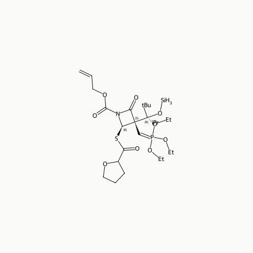 C=CCOC(=O)N1C(=O)[C@](C=P(OCC)(OCC)OCC)([C@@](O[SiH3])(C(C)C)C(C)(C)C)[C@H]1SC(=O)C1CCCO1